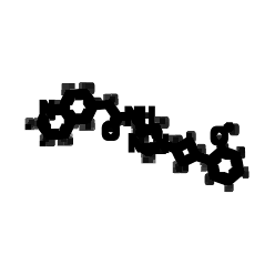 COc1ccccc1C1CC(n2cnc(NC(=O)Cc3ccc4ncccc4c3)c2)C1